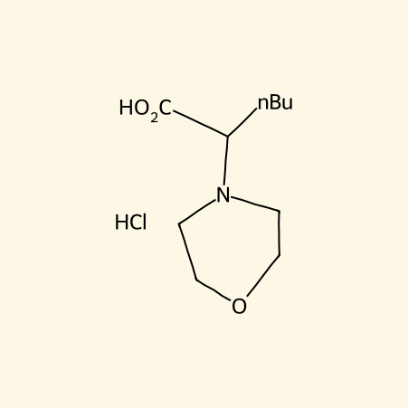 CCCCC(C(=O)O)N1CCOCC1.Cl